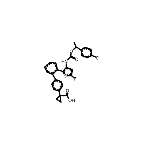 CC(OC(=O)Nc1cc(F)sc1-c1ccccc1-c1ccc(C2(C(=O)O)CC2)cc1)c1ccc(Cl)cc1